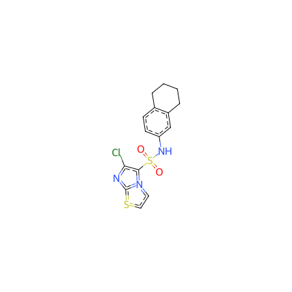 O=S(=O)(Nc1ccc2c(c1)CCCC2)c1c(Cl)nc2sccn12